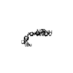 CC(C)(C)OC(=O)N1CCC(CN2CCN(c3ccc(C(=O)NC4CCC(=O)NC4=O)nc3)CC2)CC1